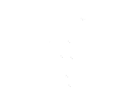 O=c1n(Cc2cccnn2)nc2ccc3c(n12)CCN3